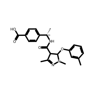 CC1=NN(C)C(Oc2cccc(C)c2)C1C(=O)N[C@@H](C)c1ccc(C(=O)O)cc1